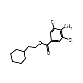 Cc1c(Cl)cc(C(=O)OCCC2CCCCC2)cc1Cl